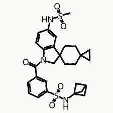 CS(=O)(=O)Nc1ccc2c(c1)C1(CCC3(CC3)CC1)CN2C(=O)c1cccc(S(=O)(=O)NC23CC(C2)C3)c1